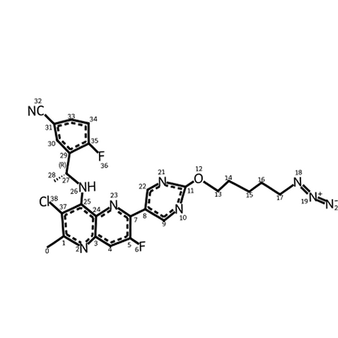 Cc1nc2cc(F)c(-c3cnc(OCCCCCN=[N+]=[N-])nc3)nc2c(N[C@H](C)c2cc(C#N)ccc2F)c1Cl